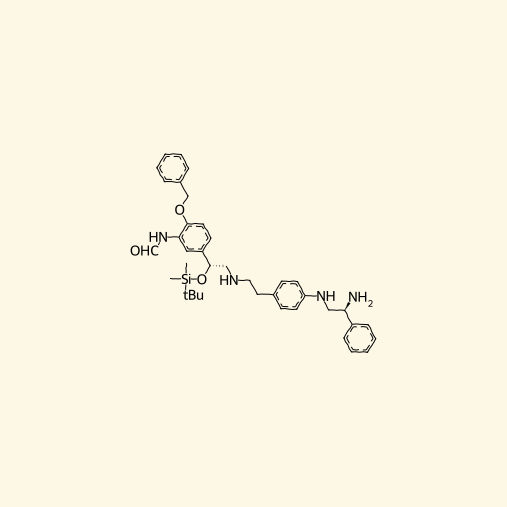 CC(C)(C)[Si](C)(C)O[C@@H](CNCCc1ccc(NC[C@@H](N)c2ccccc2)cc1)c1ccc(OCc2ccccc2)c(NC=O)c1